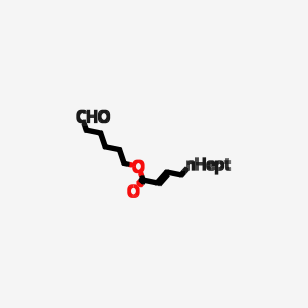 CCCCCCCCC=CC(=O)OCCCCCC=O